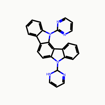 C1=CNC(n2c3ccccc3c3c4c(ccc32)c2ccccc2n4-c2ncccn2)N=C1